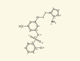 Cc1cc(OCC[n+]2ccsc2N)cc(OS(=O)(=O)c2ccccc2Cl)c1